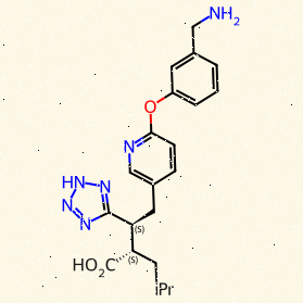 CC(C)C[C@H](C(=O)O)[C@H](Cc1ccc(Oc2cccc(CN)c2)nc1)c1nn[nH]n1